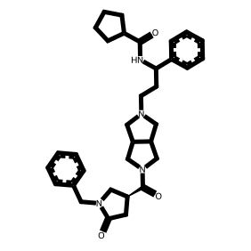 O=C(NC(CCN1CC2CN(C(=O)[C@H]3CC(=O)N(Cc4ccccc4)C3)CC2C1)c1ccccc1)C1CCCC1